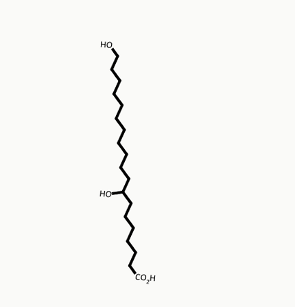 O=C(O)CCCCCCC(O)CCCCCCCCCCCO